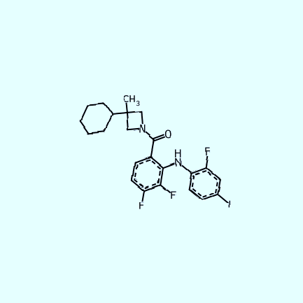 CC1(C2CCCCC2)CN(C(=O)c2ccc(F)c(F)c2Nc2ccc(I)cc2F)C1